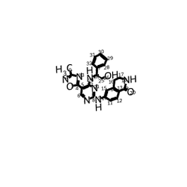 Cc1noc(-c2cnc(Nc3ccc4c(c3)CCNC4=O)nc2N[C@H](CO)c2ccccc2)n1